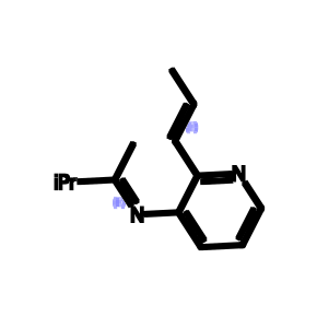 C/C=C/c1ncccc1/N=C(\C)C(C)C